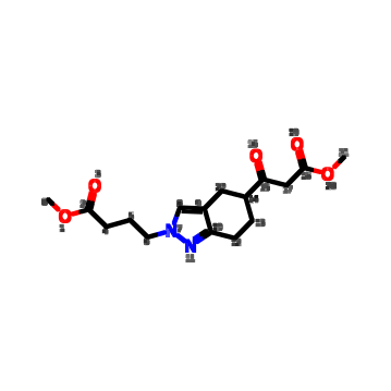 COC(=O)CCCn1cc2c(n1)CCC(C(=O)CC(=O)OC)C2